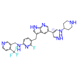 N=C/C(=C\NC1CCNCC1)c1cnc2[nH]cc(Cc3ccc(NCc4cnccc4C(F)(F)F)nc3F)c2c1